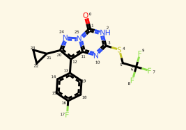 O=c1[nH]c(SCC(F)(F)F)nc2c(-c3ccc(F)cc3)c(C3CC3)nn12